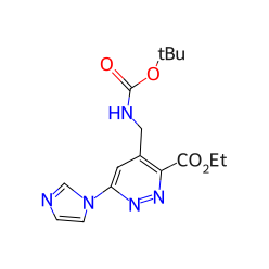 CCOC(=O)c1nnc(-n2ccnc2)cc1CNC(=O)OC(C)(C)C